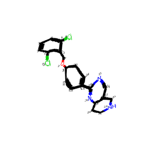 Clc1cccc(Cl)c1COc1ccc(-c2ncc3c(n2)CCNC3)cc1